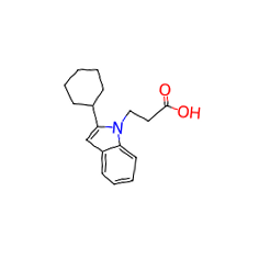 O=C(O)CCn1c(C2CCCCC2)cc2ccccc21